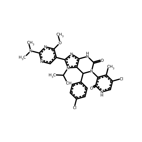 COc1nc(N(C)C)ncc1-c1nc2c(n1C(C)C)C(c1ccc(Cl)cc1)N(c1c(C)c(Cl)c[nH]c1=O)C(=O)N2